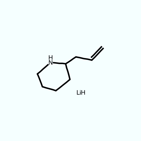 C=CCC1CCCCN1.[LiH]